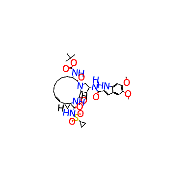 COc1cc2cc(C(=O)N[C@@H]3C[C@H]4C(=O)N[C@]5(C(=O)NS(=O)(=O)C6CC6)C[C@H]5/C=C\CCCCC[C@H](NC(=O)OC(C)(C)C)C(=O)N4C3)[nH]c2cc1OC